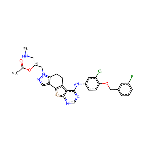 CCNC[C@H](Cn1ncc2c1CCc1c-2sc2ncnc(Nc3ccc(OCc4cccc(F)c4)c(Cl)c3)c12)OC(=O)C(F)(F)F